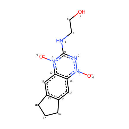 [O-][n+]1nc(NCCO)[n+]([O-])c2cc3c(cc21)CCC3